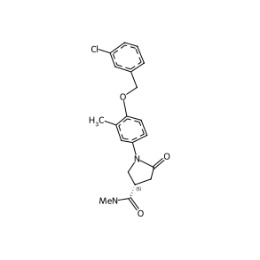 CNC(=O)[C@H]1CC(=O)N(c2ccc(OCc3cccc(Cl)c3)c(C)c2)C1